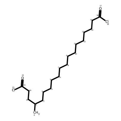 CC(CCCCCCCCCCCCCCC(=O)Cl)CCC(=O)Cl